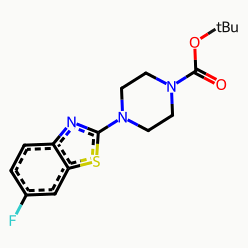 CC(C)(C)OC(=O)N1CCN(c2nc3ccc(F)cc3s2)CC1